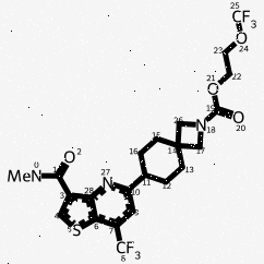 CNC(=O)c1csc2c(C(F)(F)F)cc(C3CCC4(CC3)CN(C(=O)OCCOC(F)(F)F)C4)nc12